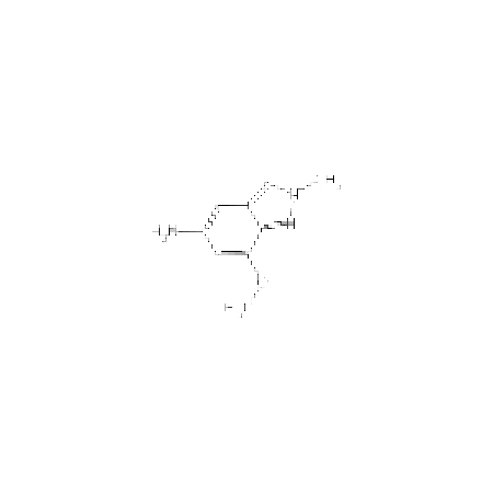 COc1cc(N)cc2cn(C)nc12